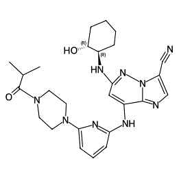 CC(C)C(=O)N1CCN(c2cccc(Nc3cc(N[C@@H]4CCCC[C@H]4O)nn4c(C#N)cnc34)n2)CC1